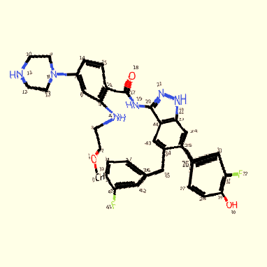 COCCNc1cc(N2CCNCC2)ccc1C(=O)Nc1n[nH]c2cc(-c3ccc(O)c(F)c3)c(Cc3cccc(F)c3)cc12